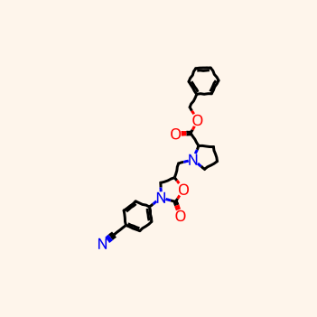 N#Cc1ccc(N2CC(CN3CCCC3C(=O)OCc3ccccc3)OC2=O)cc1